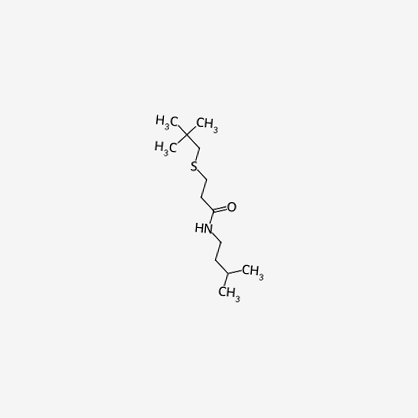 CC(C)CCNC(=O)CCSCC(C)(C)C